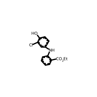 CCOC(=O)c1ccccc1Nc1ccc(O)c(Cl)c1